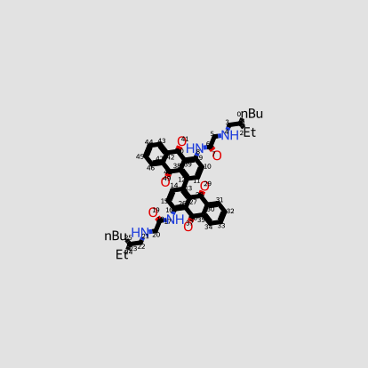 CCCCC(CC)CNCC(=O)Nc1ccc(-c2ccc(NC(=O)CNCC(CC)CCCC)c3c2C(=O)c2ccccc2C3=O)c2c1C(=O)c1ccccc1C2=O